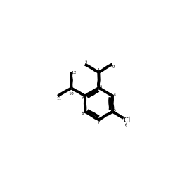 C[C](C)c1cc(Cl)ccc1C(C)C